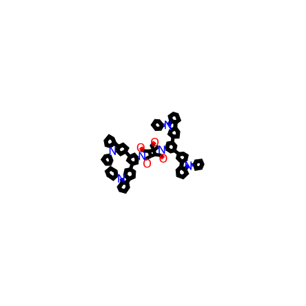 O=CC12CN(c3cc(-c4ccc5c(c4)c4ccccc4n5-c4ccccc4)cc(-c4ccc5c6ccccc6n(-c6ccccc6)c5c4)c3)C(=O)C1C1C(=O)N(c3cc(-c4ccc5c6ccccc6n(-c6ccccc6)c5c4)cc(-c4ccc5c6ccccc6n(-c6ccccc6)c5c4)c3)C(=O)C12